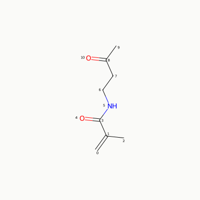 C=C(C)C(=O)NCCC(C)=O